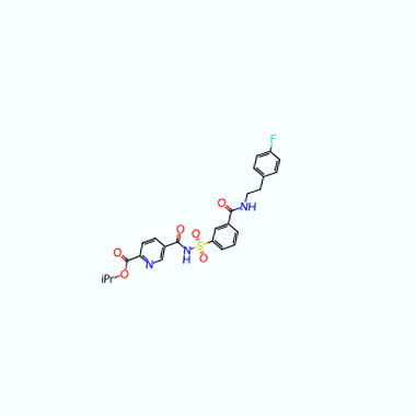 CC(C)OC(=O)c1ccc(C(=O)NS(=O)(=O)c2cccc(C(=O)NCCc3ccc(F)cc3)c2)cn1